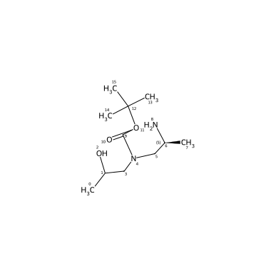 CC(O)CN(C[C@H](C)N)C(=O)OC(C)(C)C